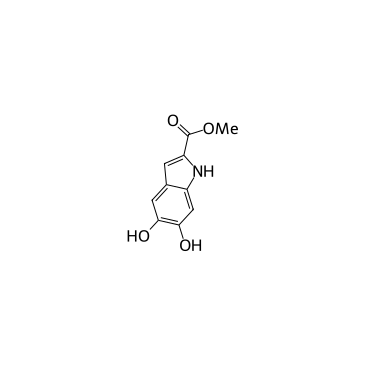 COC(=O)c1cc2cc(O)c(O)cc2[nH]1